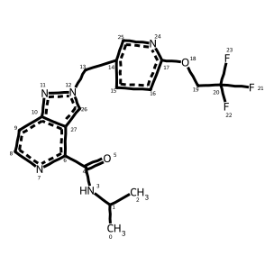 CC(C)NC(=O)c1nccc2nn(Cc3ccc(OCC(F)(F)F)nc3)cc12